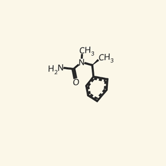 C[C@@H](c1ccccc1)N(C)C(N)=O